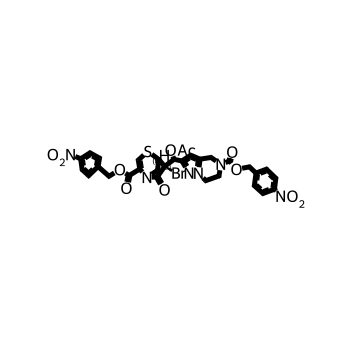 CC(=O)OC(c1cc2n(n1)CCN(C(=O)OCc1ccc([N+](=O)[O-])cc1)C2)[C@]1(Br)C(=O)N2C[C@H]1SC=C2C(=O)OCc1ccc([N+](=O)[O-])cc1